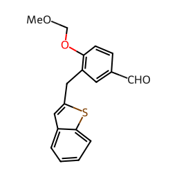 COCOc1ccc(C=O)cc1Cc1cc2ccccc2s1